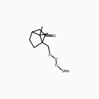 CSOOOCC12CCC(CC1=O)C2(C)C